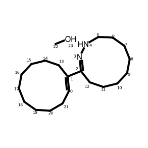 C1=C(C2=NNCCCCCCCC2)CCCCCCCCC1.CO